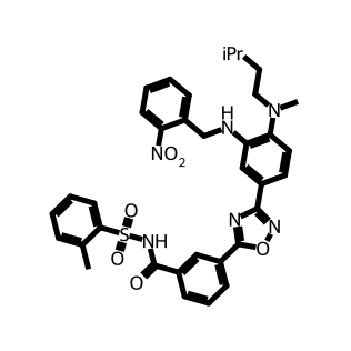 Cc1ccccc1S(=O)(=O)NC(=O)c1cccc(-c2nc(-c3ccc(N(C)CCC(C)C)c(NCc4ccccc4[N+](=O)[O-])c3)no2)c1